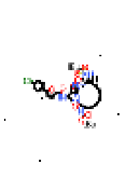 CCC(C)S(=O)(=O)NC(=O)[C@@]12C[C@H]1/C=C\CCCCC[C@H](NC(=O)OC(C)(C)C)C(=O)N1C[C@H](NC(=O)c3ccc(-c4ccc(Cl)cc4)o3)C[C@H]1C(=O)N2